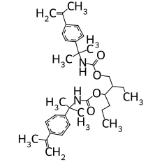 C=C(C)c1ccc(C(C)(C)NC(=O)OCC(CC)C(CCC)OC(=O)NC(C)(C)c2ccc(C(=C)C)cc2)cc1